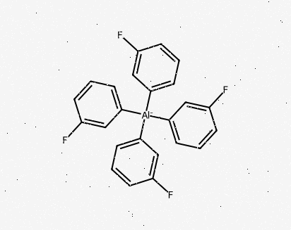 Fc1ccc[c]([Al-]([c]2cccc(F)c2)([c]2cccc(F)c2)[c]2cccc(F)c2)c1